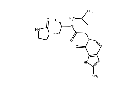 Cc1nc2ccn([C@@H](CC(C)C)C(=O)N[C@H](C)C[C@@H]3CCNC3=O)c(=O)c2[nH]1